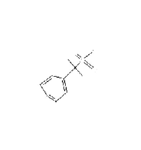 CC(C)(c1ccccc1)S(=O)(=O)O